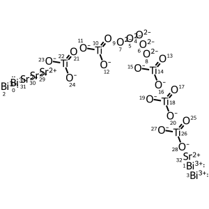 [Bi+3].[Bi+3].[Bi+3].[Bi+3].[O-2].[O-2].[O-2].[O-2].[O-2].[O]=[Ti]([O-])[O-].[O]=[Ti]([O-])[O-].[O]=[Ti]([O-])[O-].[O]=[Ti]([O-])[O-].[O]=[Ti]([O-])[O-].[Sr+2].[Sr+2].[Sr+2].[Sr+2]